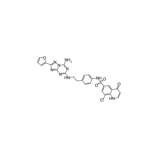 Nc1nc(NCCc2ccc(NS(=O)(=O)c3cc(Cl)c4[nH]ccc(=O)c4c3)cc2)nc2nc(-c3ccco3)nn12